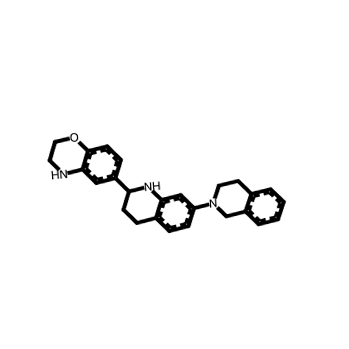 c1ccc2c(c1)CCN(c1ccc3c(c1)NC(c1ccc4c(c1)NCCO4)CC3)C2